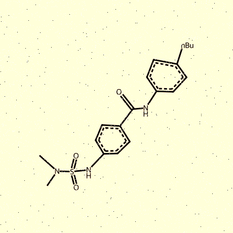 CCCCc1ccc(NC(=O)c2ccc(NS(=O)(=O)N(C)C)cc2)cc1